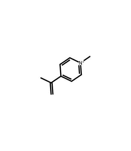 C=C(C)c1cc[n+](C)cc1